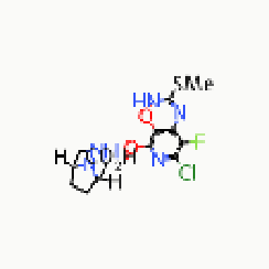 CSC1=Nc2c(F)c(Cl)nc(OC[C@H]3NC[C@H]4CC[C@@H]3N4C(=O)O)c2ON1